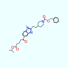 CC(C)OC(=O)CCCC(=O)c1ccc2c(c1)nc(CCC1CCN(C(=O)OCc3ccccc3)CC1)n2C